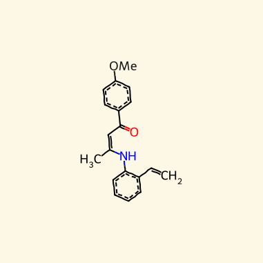 C=Cc1ccccc1N/C(C)=C\C(=O)c1ccc(OC)cc1